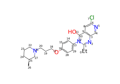 CCC1=Nc2cnc(Cl)cc2C(O)N1c1ccc(OCCCN2CCC[C@H](C)C2)cc1